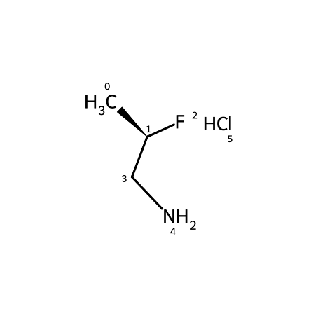 C[C@@H](F)CN.Cl